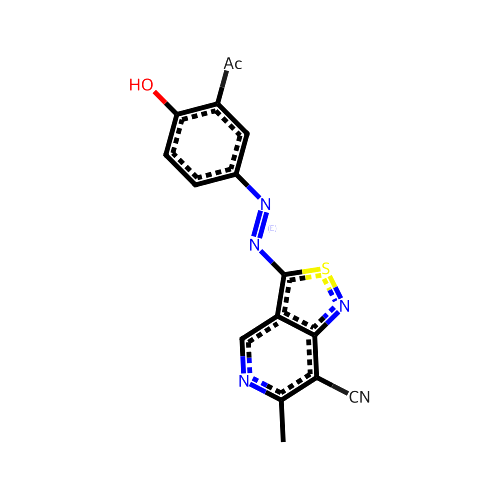 CC(=O)c1cc(/N=N/c2snc3c(C#N)c(C)ncc23)ccc1O